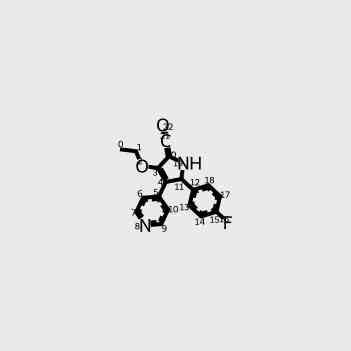 CCOC1=C(c2ccncc2)C(c2ccc(F)cc2)NC1=C=O